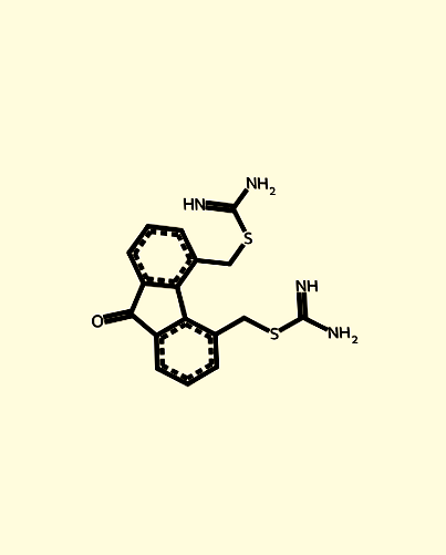 N=C(N)SCc1cccc2c1-c1c(CSC(=N)N)cccc1C2=O